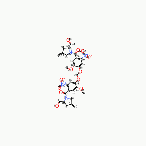 C=C1C[C@@H](C=O)N(C(=O)c2cc(OC)c(OCOc3cc([N+](=O)[O-])c(C(=O)N4CC(=C)C[C@H]4C=O)cc3OC)cc2[N+](=O)[O-])C1